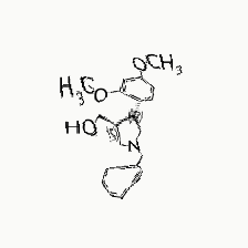 COc1ccc([C@@H]2CN(Cc3ccccc3)C[C@H]2CO)c(OC)c1